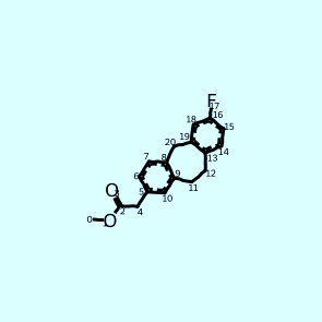 COC(=O)Cc1ccc2c(c1)CCc1ccc(F)cc1C2